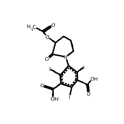 CC(=O)OC1CCCN(c2c(I)c(C(=O)O)c(I)c(C(=O)O)c2I)C1=O